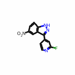 O=[N+]([O-])c1ccc2[nH]nc(-c3ccnc(F)c3)c2c1